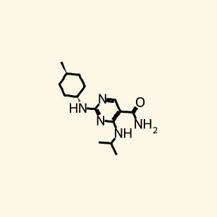 CC(C)Nc1nc(N[C@H]2CC[C@H](C)CC2)ncc1C(N)=O